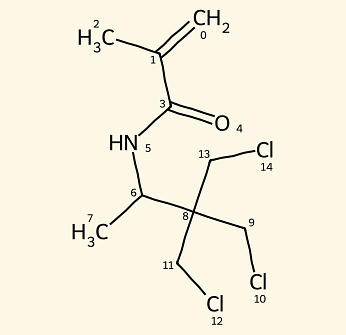 C=C(C)C(=O)NC(C)C(CCl)(CCl)CCl